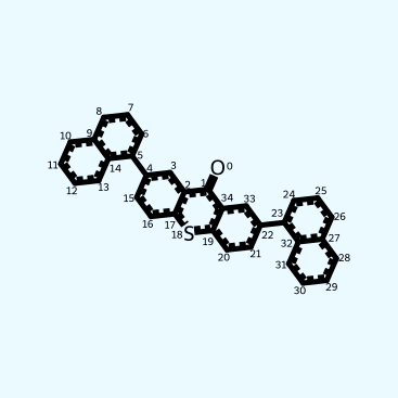 O=c1c2cc(-c3cccc4ccccc34)ccc2sc2ccc(-c3cccc4ccccc34)cc12